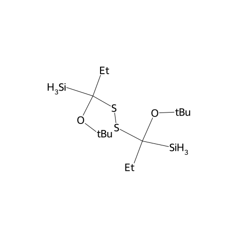 CCC([SiH3])(OC(C)(C)C)SSC([SiH3])(CC)OC(C)(C)C